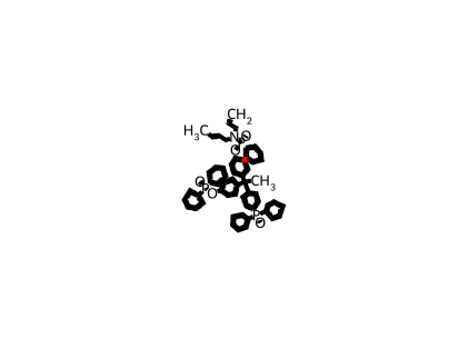 C=CCN(CC=CC)P(=O)(Oc1ccc(C(C)(c2ccc(OP(=O)(c3ccccc3)c3ccccc3)cc2)c2ccc(P(=O)(c3ccccc3)c3ccccc3)cc2)cc1)c1ccccc1